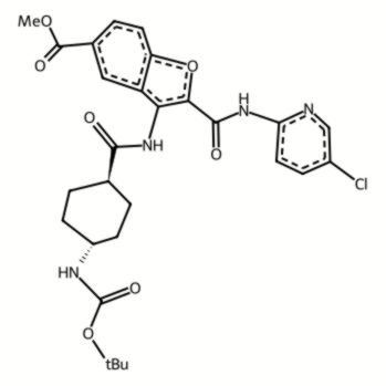 COC(=O)c1ccc2oc(C(=O)Nc3ccc(Cl)cn3)c(NC(=O)[C@H]3CC[C@H](NC(=O)OC(C)(C)C)CC3)c2c1